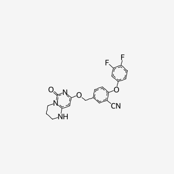 N#Cc1cc(COc2cc3n(c(=O)n2)CCCN3)ccc1Oc1ccc(F)c(F)c1